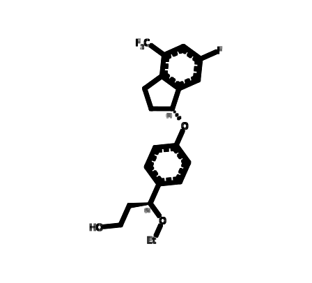 CCO[C@@H](CCO)c1ccc(O[C@@H]2CCc3c2cc(F)cc3C(F)(F)F)cc1